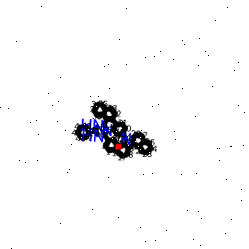 c1ccc(C2=NC(c3c(-c4ccc(-n5c6ccccc6c6c7ccccc7ccc65)cc4)ccc4ccccc34)NC(c3ccccc3)N2)cc1